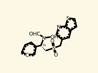 O=CN(O)[C@H](CS(=O)(=O)Cc1cnc2sccc2c1)c1ccccc1